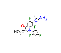 C[C@@H]1[C@@H](N)CN1c1c(F)cc2c(=O)c(C(=O)O)cn(-c3ccc(F)cc3F)c2c1F